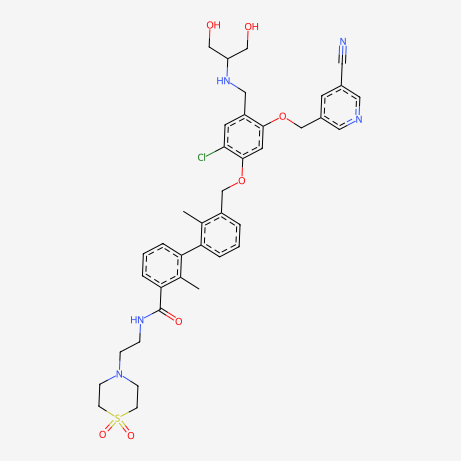 Cc1c(COc2cc(OCc3cncc(C#N)c3)c(CNC(CO)CO)cc2Cl)cccc1-c1cccc(C(=O)NCCN2CCS(=O)(=O)CC2)c1C